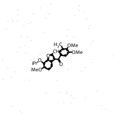 COc1cc(C(=O)c2c(C)oc3c(OC(C)C)c(OC)ccc23)cc(C)c1OC